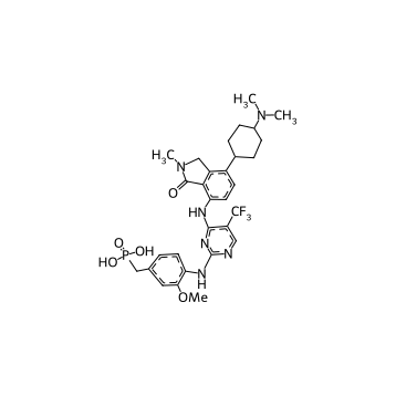 COc1cc(CP(=O)(O)O)ccc1Nc1ncc(C(F)(F)F)c(Nc2ccc(C3CCC(N(C)C)CC3)c3c2C(=O)N(C)C3)n1